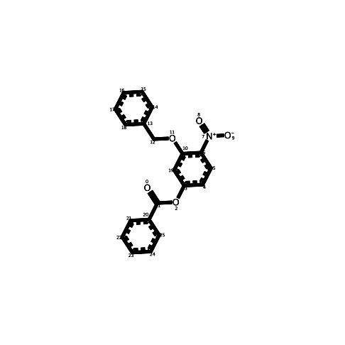 O=C(Oc1ccc([N+](=O)[O-])c(OCc2ccccc2)c1)c1ccccc1